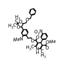 CNc1cc(C2OC(C)(C)OC2COCc2ccccc2)ccc1CCOC(=O)C1=C(C)NC(C)=C(C(=O)OC)C1c1cccc([N+](=O)[O-])c1